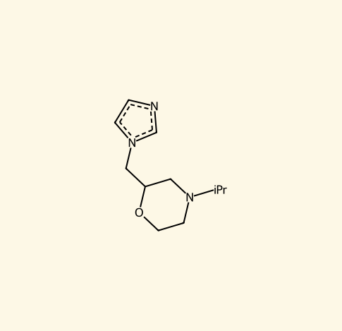 CC(C)N1CCOC(Cn2ccnc2)C1